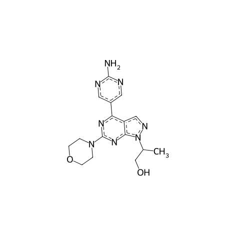 CC(CO)n1ncc2c(-c3cnc(N)nc3)nc(N3CCOCC3)nc21